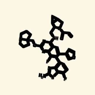 C=CC(=O)N1CC2CC2C1CNc1nc(OCC23CCCN2CCC3)nc2c(F)c(-c3ccc(F)c4sc(N)nc34)c(-c3ccoc3)cc12